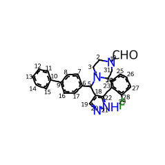 O=CN1CCN(C(c2ccc(-c3ccccc3)cc2)c2cn[nH]c2-c2ccccc2F)CC1